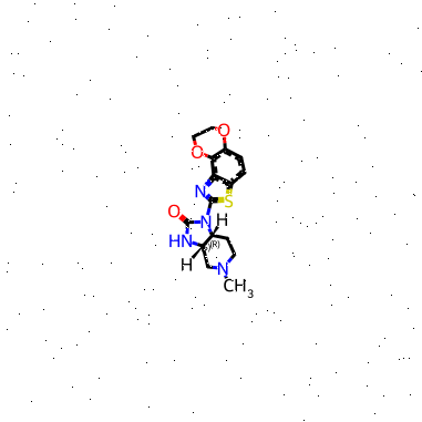 CN1CC[C@@H]2[C@H](C1)NC(=O)N2c1nc2c3c(ccc2s1)OCCO3